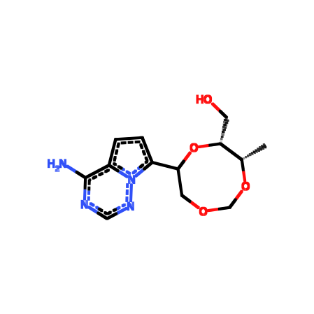 C[C@@H]1OCOCC(c2ccc3c(N)ncnn23)O[C@@H]1CO